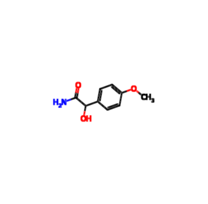 COc1ccc(C(O)C(N)=O)cc1